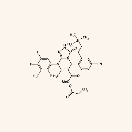 CCC(=O)[O-].COC(=O)C1=C(C)N(c2cc(F)c(F)c(C)c2F)c2n[nH]c(=O)n2C1c1ccc(C#N)cc1CC[N+](C)(C)C